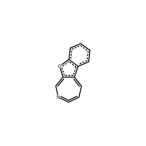 C1=CC=c2c(oc3ccccc23)=CN=1